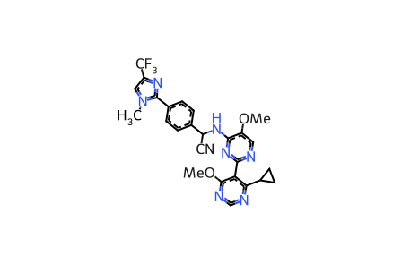 COc1cnc(-c2c(OC)ncnc2C2CC2)nc1NC(C#N)c1ccc(-c2nc(C(F)(F)F)cn2C)cc1